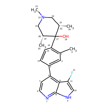 Cc1cc(-c2ccnc3[nH]cc(F)c23)ccc1C1(O)[C@H](C)CN(C)C[C@@H]1C